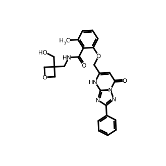 Cc1cccc(OCc2cc(=O)n3nc(-c4ccccc4)nc3[nH]2)c1C(=O)NCC1(CO)COC1